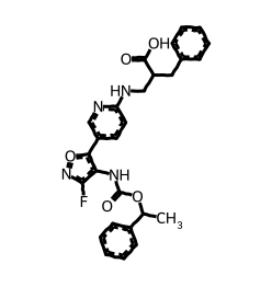 CC(OC(=O)Nc1c(F)noc1-c1ccc(NCC(Cc2ccccc2)C(=O)O)nc1)c1ccccc1